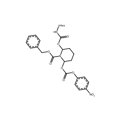 CCCCCCNC(=O)OC1CCCC(OC(=O)Oc2ccc([N+](=O)[O-])cc2)N1C(=O)OCc1ccccc1